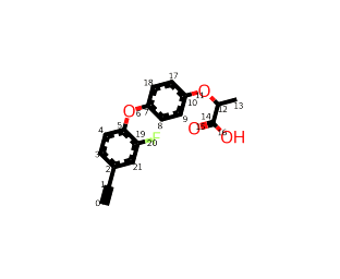 C#Cc1ccc(Oc2ccc(OC(C)C(=O)O)cc2)c(F)c1